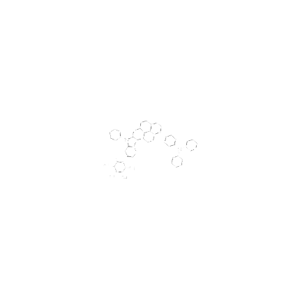 [2H]c1c([2H])c([2H])c(-c2ccc3c4c5ccc6c(-c7ccc(N(c8ccccc8)c8ccccc8)cc7)ccc7ccc(cc4n(-c4ccccc4)c3c2)c5c76)c([2H])c1[2H]